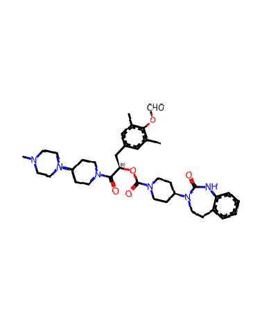 Cc1cc(C[C@@H](OC(=O)N2CCC(N3CCc4ccccc4NC3=O)CC2)C(=O)N2CCC(N3CCN(C)CC3)CC2)cc(C)c1OC=O